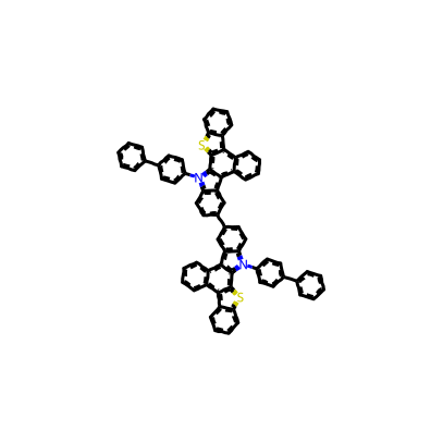 c1ccc(-c2ccc(-n3c4ccc(-c5ccc6c(c5)c5c7ccccc7c7c8ccccc8sc7c5n6-c5ccc(-c6ccccc6)cc5)cc4c4c5ccccc5c5c6ccccc6sc5c43)cc2)cc1